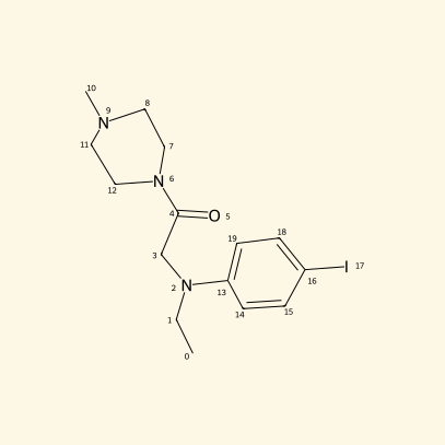 CCN(CC(=O)N1CCN(C)CC1)c1ccc(I)cc1